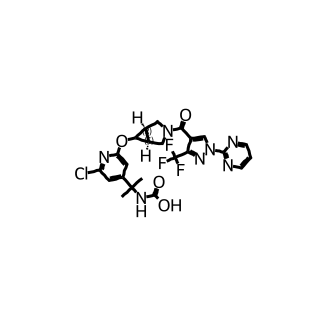 CC(C)(NC(=O)O)c1cc(Cl)nc(OC2[C@H]3CN(C(=O)c4cn(-c5ncccn5)nc4C(F)(F)F)C[C@@H]23)c1